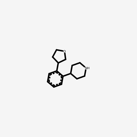 c1ccc(C2CCOC2)c(C2CCNCC2)c1